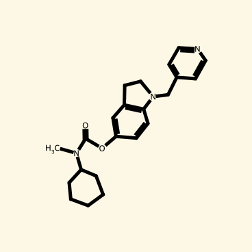 CN(C(=O)Oc1ccc2c(c1)CCN2Cc1ccncc1)C1CCCCC1